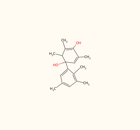 CC1=CC(O)(c2cc(C)cc(C)c2C)C(C)C(C)=C1O